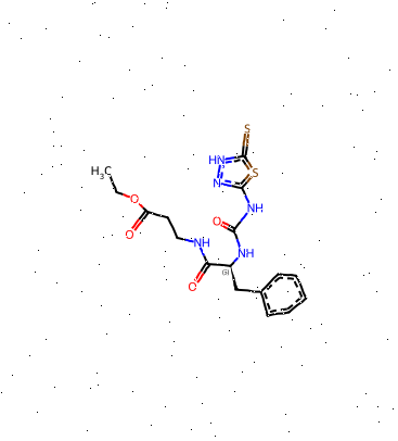 CCOC(=O)CCNC(=O)[C@H](Cc1ccccc1)NC(=O)Nc1n[nH]c(=S)s1